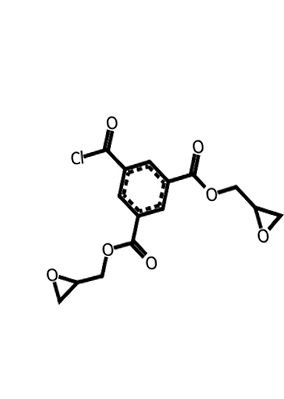 O=C(Cl)c1cc(C(=O)OCC2CO2)cc(C(=O)OCC2CO2)c1